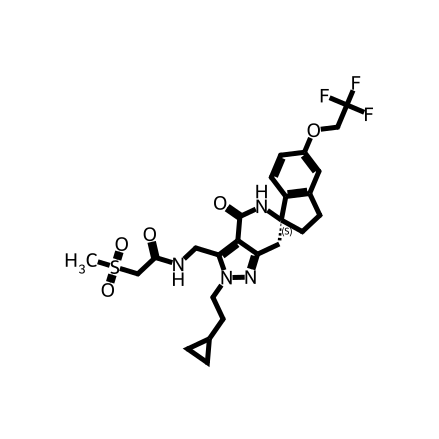 CS(=O)(=O)CC(=O)NCc1c2c(nn1CCC1CC1)C[C@]1(CCc3cc(OCC(F)(F)F)ccc31)NC2=O